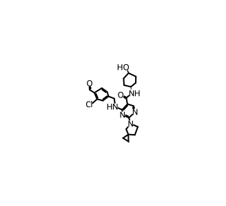 O=Cc1ccc(CNc2nc(N3CCC4(CC4)C3)ncc2C(=O)N[C@H]2CC[C@H](O)CC2)cc1Cl